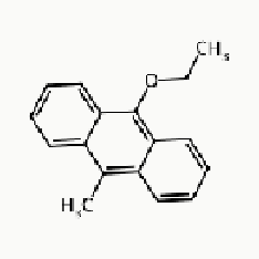 CCOc1c2ccccc2c(C)c2ccccc12